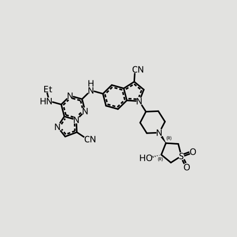 CCNc1nc(Nc2ccc3c(c2)c(C#N)cn3C2CCN([C@H]3CS(=O)(=O)C[C@@H]3O)CC2)nn2c(C#N)cnc12